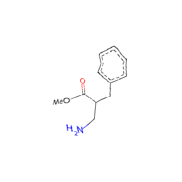 COC(=O)C(CN)Cc1ccccc1